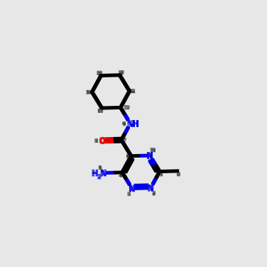 Cc1nnc(N)c(C(=O)NC2CCCCC2)n1